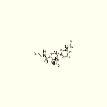 CCCNC(=O)c1cnc(-c2cccc(OCC)c2)nc1N